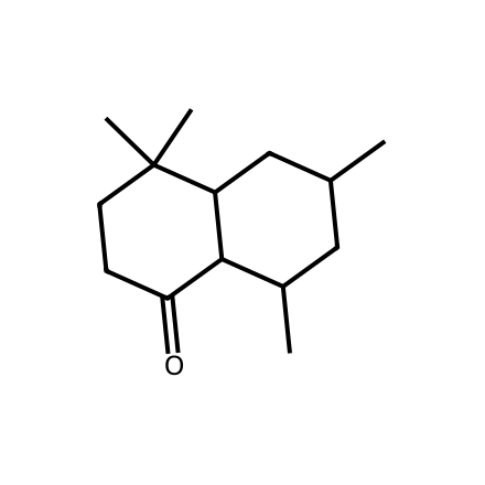 CC1CC(C)C2C(=O)CCC(C)(C)C2C1